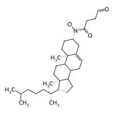 CC(C)CCC[C@@H](C)[C@H]1CCC2C3CC=C4C[C@@H]([N+]([O])C(=O)CCC=O)CC[C@]4(C)C3CC[C@@]21C